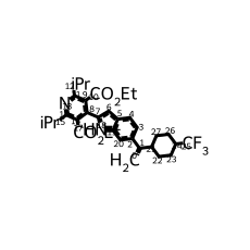 C=C(c1ccc2cc(-c3c(C(=O)OCC)c(C(C)C)nc(C(C)C)c3C(=O)OCC)[nH]c2c1)C1CCC(C(F)(F)F)CC1